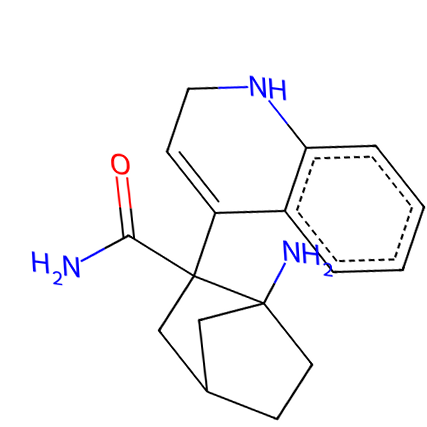 NC(=O)C1(C2=CCNc3ccccc32)CC2CCC1(N)C2